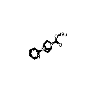 CC(C)(C)OC(=O)N1CC2CC1CN2c1ccccn1